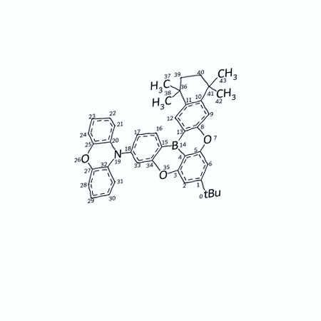 CC(C)(C)c1cc2c3c(c1)Oc1cc4c(cc1B3c1ccc(N3c5ccccc5Oc5ccccc53)cc1O2)C(C)(C)CCC4(C)C